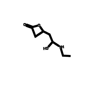 CCNC(O)CC1CC(=O)O1